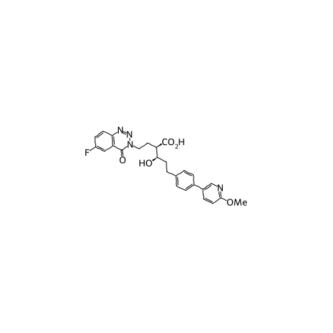 COc1ccc(-c2ccc(CC[C@@H](O)[C@@H](CCn3nnc4ccc(F)cc4c3=O)C(=O)O)cc2)cn1